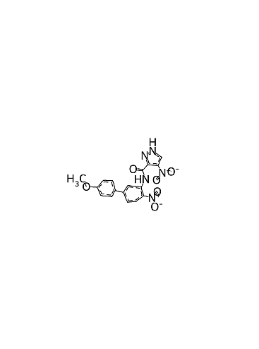 COc1ccc(-c2ccc([N+](=O)[O-])c(NC(=O)c3n[nH]cc3[N+](=O)[O-])c2)cc1